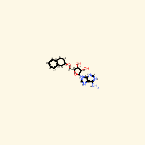 Nc1ncnc2c1ncn2[C@@H]1O[C@H](COC2CCc3ccccc3C2)[C@@H](O)[C@H]1O